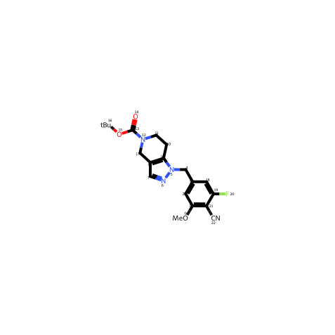 COc1cc(Cn2ncc3c2CCN(C(=O)OC(C)(C)C)C3)cc(F)c1C#N